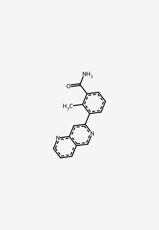 Cc1c(C(N)=O)cccc1-c1cc2ncccc2cn1